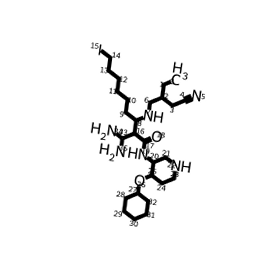 CCC(CC#N)CNC(CCCCCCI)C(C(=O)NC1CNCCC1OC1CCCCC1)C(N)N